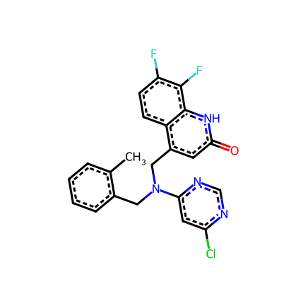 Cc1ccccc1CN(Cc1cc(=O)[nH]c2c(F)c(F)ccc12)c1cc(Cl)ncn1